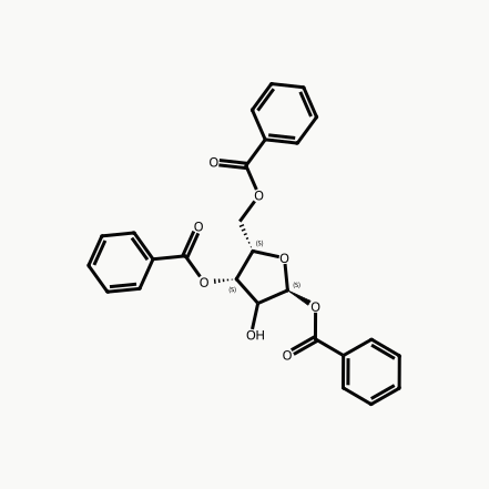 O=C(OC[C@@H]1O[C@@H](OC(=O)c2ccccc2)C(O)[C@@H]1OC(=O)c1ccccc1)c1ccccc1